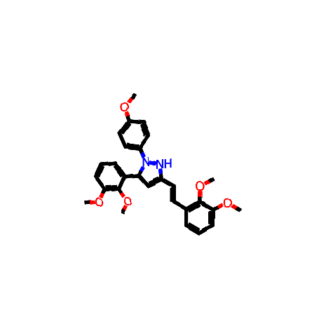 COc1ccc(N2NC(C=Cc3cccc(OC)c3OC)=CC2c2cccc(OC)c2OC)cc1